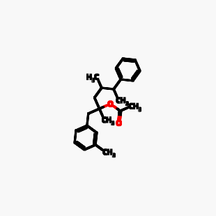 CC(=O)OC(C)(Cc1cccc(C)c1)CC(C)C(C)c1ccccc1